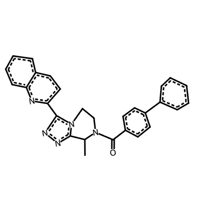 CC1c2nnc(-c3ccc4ccccc4n3)n2CCN1C(=O)c1ccc(-c2ccccc2)cc1